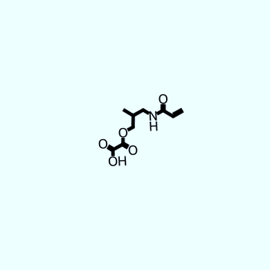 C=CC(=O)NCC(C)COC(=O)C(=O)O